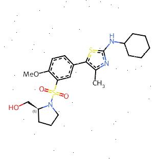 COc1ccc(-c2sc(NC3CCCCC3)nc2C)cc1S(=O)(=O)N1CCC[C@H]1CO